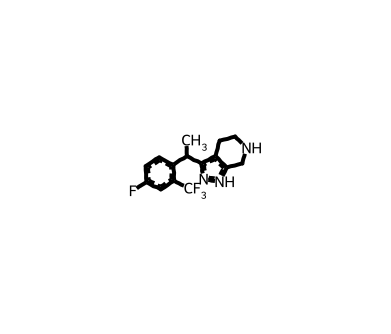 CC(c1ccc(F)cc1C(F)(F)F)c1n[nH]c2c1CCNC2